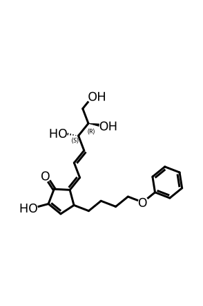 O=C1C(O)=CC(CCCCOc2ccccc2)C1=CC=C[C@H](O)[C@H](O)CO